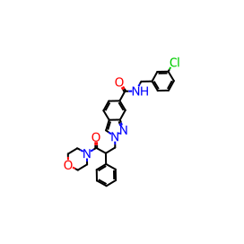 O=C(NCc1cccc(Cl)c1)c1ccc2cn(CC(C(=O)N3CCOCC3)c3ccccc3)nc2c1